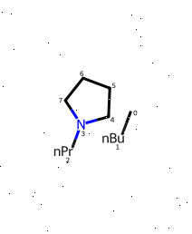 CCCCC.CCCN1CCCC1